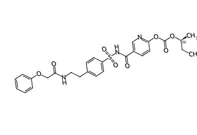 CC[C@H](C)OC(=O)Oc1ccc(C(=O)NS(=O)(=O)c2ccc(CCNC(=O)COc3ccccc3)cc2)cn1